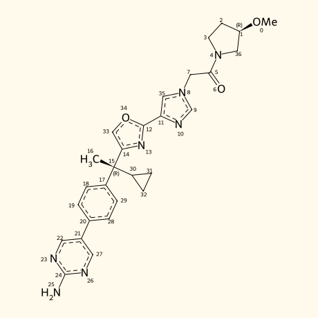 CO[C@@H]1CCN(C(=O)Cn2cnc(-c3nc([C@@](C)(c4ccc(-c5cnc(N)nc5)cc4)C4CC4)co3)c2)C1